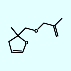 C=C(C)COCC1(C)CC=CO1